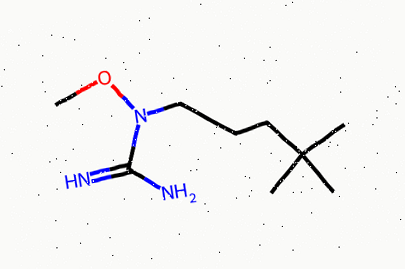 CON(CCCC(C)(C)C)C(=N)N